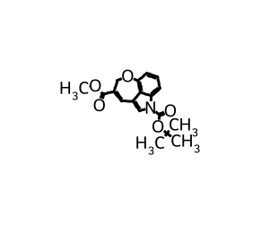 COC(=O)C1=Cc2cn(C(=O)OC(C)(C)C)c3cccc(c23)OC1